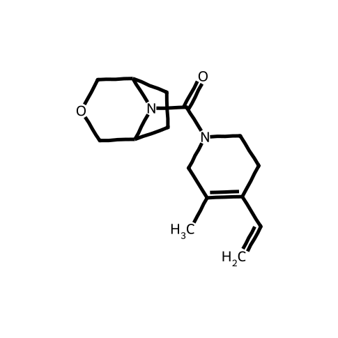 C=CC1=C(C)CN(C(=O)N2C3CCC2COC3)CC1